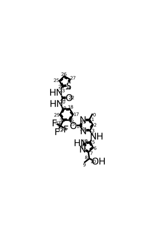 Cc1cc(Nc2cc(C(C)O)n[nH]2)nc(Oc2ccc(NC(=O)Nc3cccs3)cc2C(F)(F)F)n1